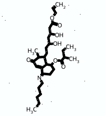 C=CCOC(=O)CC(O)CC(O)CCC1C(C)C(=O)C=C2C(=NCCCCCC)CCC(OC(=O)C(C)CC)C21